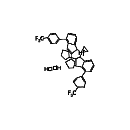 Cl.Cl.FC(F)(F)c1ccc(-c2cccc3c2C=C(C2CCCC2)[CH]3[Hf]2([CH]3C(C4CCCC4)=Cc4c(-c5ccc(C(F)(F)F)cc5)cccc43)[CH2][CH2]2)cc1